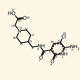 Nc1[nH]c(=O)c(C(=O)NCC2CCN(CC(=O)O)CC2)cc1Cl